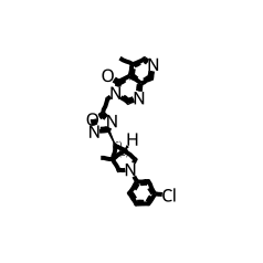 Cc1cncc2ncn(Cc3nc([C@H]4[C@@H]5CN(c6cccc(Cl)c6)CC54C)no3)c(=O)c12